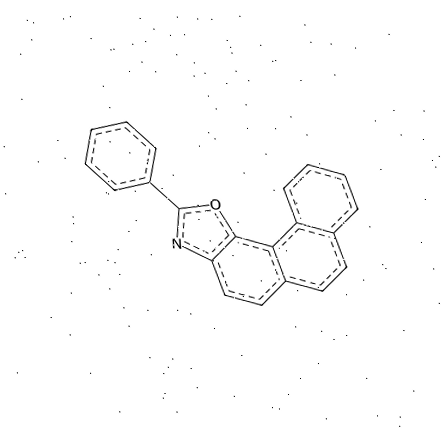 c1ccc(-c2nc3ccc4ccc5ccccc5c4c3o2)cc1